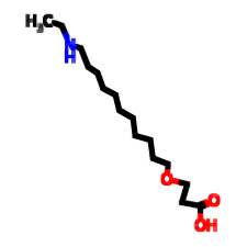 CCNCCCCCCCCCCCOCCC(=O)O